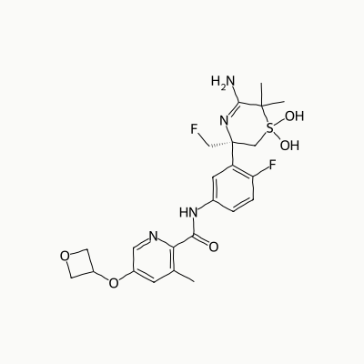 Cc1cc(OC2COC2)cnc1C(=O)Nc1ccc(F)c([C@]2(CF)CS(O)(O)C(C)(C)C(N)=N2)c1